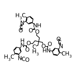 CCC(CCOC(=O)Nc1ccc(C)c(N=C=O)c1)(CCOC(=O)Nc1ccc(C)c(N=C=O)c1)COC(=O)Nc1ccc(C)c(N=C=O)c1